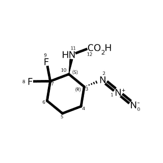 [N-]=[N+]=N[C@@H]1CCCC(F)(F)[C@H]1NC(=O)O